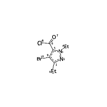 CCc1nn(CC)c(C(=O)Cl)c1Br